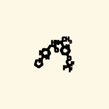 C[C@@H](NC(=O)Cc1cnc(N2CCCC2)nc1)c1ccc(OCC(F)(F)F)cn1